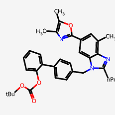 CCCc1nc2c(C)cc(-c3nc(C)c(C)o3)cc2n1Cc1ccc(-c2ccccc2OC(=O)OC(C)(C)C)cc1